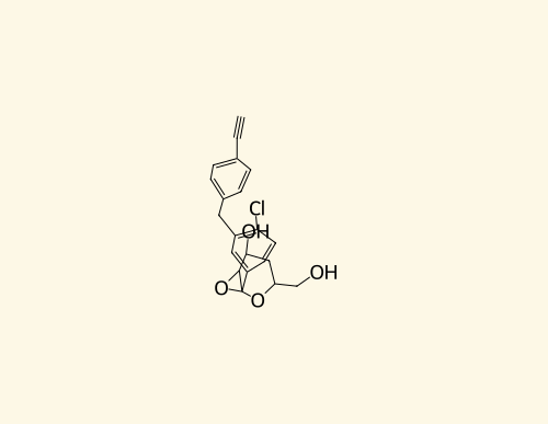 C#Cc1ccc(Cc2cc(C34OC(CO)CC(O)C3O4)ccc2Cl)cc1